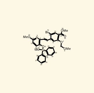 COCOc1cc(C=Cc2nc(OC)ccc2O[Si](c2ccccc2)(c2ccccc2)C(C)(C)C)c(Br)cc1C(=O)OC